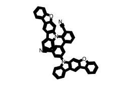 N#Cc1cc(-c2cccc(C#N)c2-n2c3ccccc3c3cc4c(cc32)oc2ccccc24)cc(-n2c3ccccc3c3cc4c(cc32)oc2ccccc24)c1